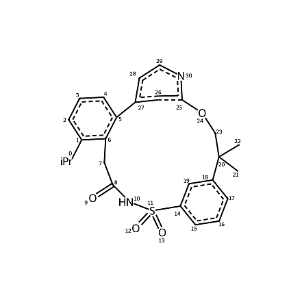 CC(C)c1cccc2c1CC(=O)NS(=O)(=O)c1cccc(c1)C(C)(C)COc1cc-2ccn1